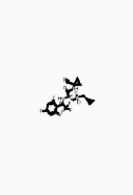 N#CC1(NC(=O)[C@H](CS(=O)(=O)CC2CC2)N[C@H](c2c(F)cc(F)cc2F)C(F)(F)F)CC1